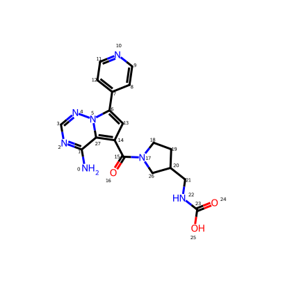 Nc1ncnn2c(-c3ccncc3)cc(C(=O)N3CCC(CNC(=O)O)C3)c12